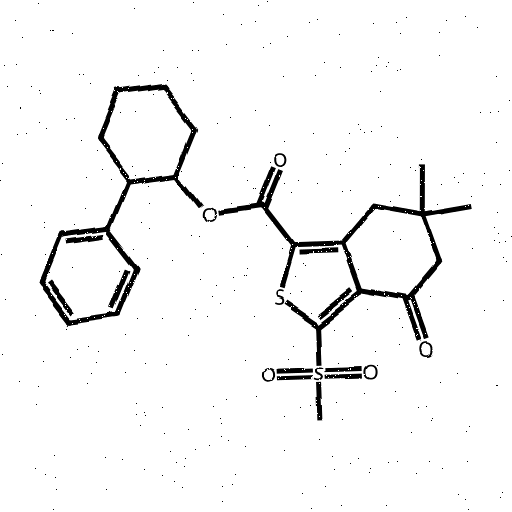 CC1(C)CC(=O)c2c(S(C)(=O)=O)sc(C(=O)OC3CCCCC3c3ccccc3)c2C1